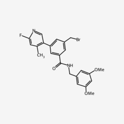 COc1cc(CNC(=O)c2cc(CBr)cc(-c3cnc(F)cc3C)c2)cc(OC)c1